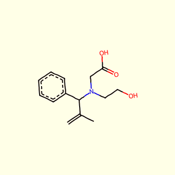 C=C(C)C(c1ccccc1)N(CCO)CC(=O)O